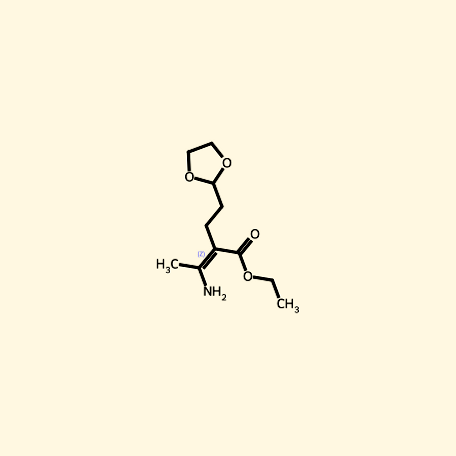 CCOC(=O)/C(CCC1OCCO1)=C(/C)N